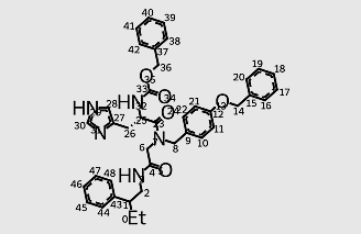 CCC(CNC(=O)CN(Cc1ccc(OCc2ccccc2)cc1)C(=O)[C@H](Cc1c[nH]cn1)NC(=O)OCc1ccccc1)c1ccccc1